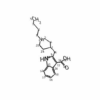 CCCCN1CCC(Cc2[nH]c3ccccc3c2C(=O)O)CC1